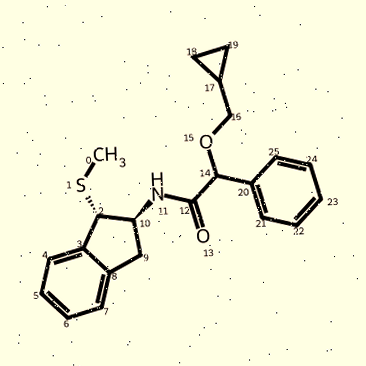 CS[C@H]1c2ccccc2C[C@@H]1NC(=O)C(OCC1CC1)c1ccccc1